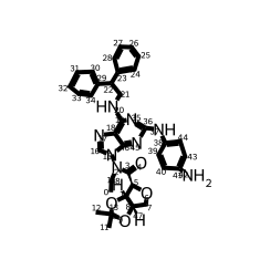 CCN(C(=O)[C@H]1OC[C@@H]2OC(C)(C)O[C@@H]21)n1cnc2c(NCC(c3ccccc3)c3ccccc3)nc(Nc3ccc(N)cc3)nc21